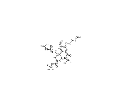 COCCCOc1cc(C(=O)N(C(C)C)C2C[C@H](COC(=O)NC(C)C)CN(C(=O)OC(C)(C)C)C2)ccc1OC